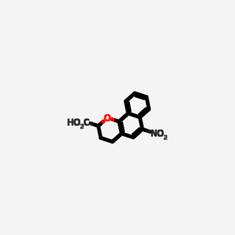 O=C(O)C1CCc2cc([N+](=O)[O-])c3ccccc3c2O1